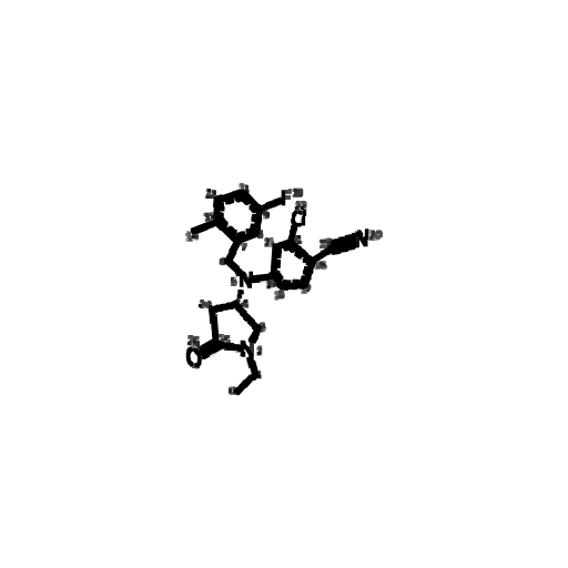 CCN1C[C@@H](N(Cc2cc(F)ccc2C)c2ccc(C#N)c(Cl)c2)CC1=O